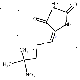 CC(C)(CC/C=C1/NC(=O)NC1=O)[N+](=O)[O-]